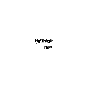 [Hg+].[O-2].[Te+2].[Zn+2]